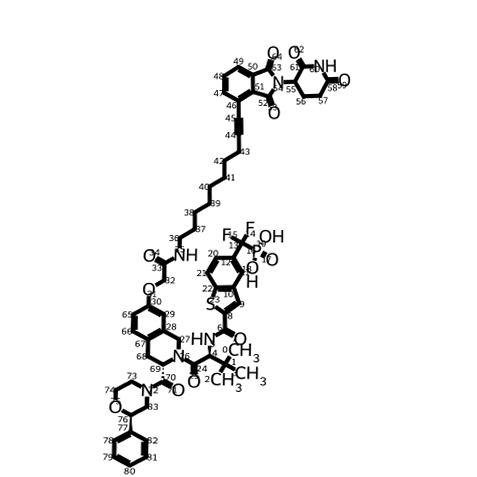 CC(C)(C)[C@H](NC(=O)c1cc2cc(C(F)(F)P(=O)(O)O)ccc2s1)C(=O)N1Cc2cc(OCC(=O)NCCCCCCCCC#Cc3cccc4c3C(=O)N(C3CCC(=O)NC3=O)C4=O)ccc2C[C@H]1C(=O)N1CCO[C@H](c2ccccc2)C1